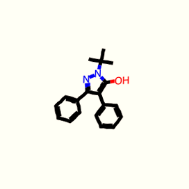 CC(C)(C)n1nc(-c2ccccc2)c(-c2ccccc2)c1O